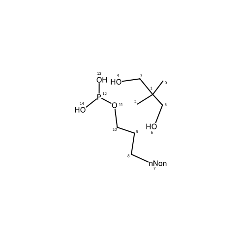 CC(C)(CO)CO.CCCCCCCCCCCCOP(O)O